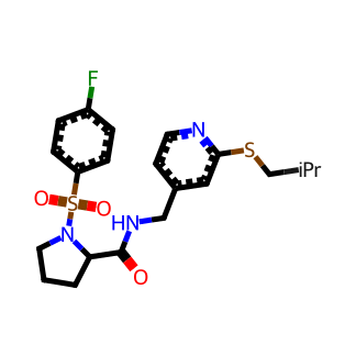 CC(C)CSc1cc(CNC(=O)C2CCCN2S(=O)(=O)c2ccc(F)cc2)ccn1